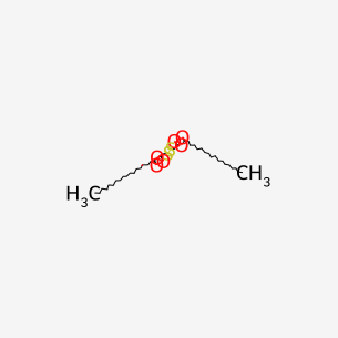 CCCCCCCCCCCCCCCCCC(=O)OC(=O)CSSCC(=O)OC(=O)CCCCCCCCCCCCCCCCC